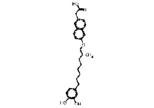 C.O=C(O)Cc1ccc2cc(OCCCCCCCCc3ccc(O)c(O)c3)ccc2c1